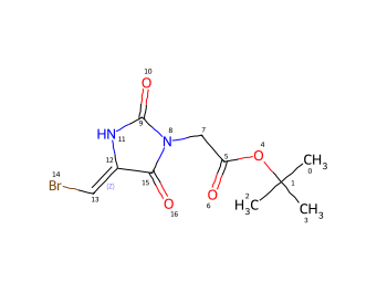 CC(C)(C)OC(=O)CN1C(=O)N/C(=C\Br)C1=O